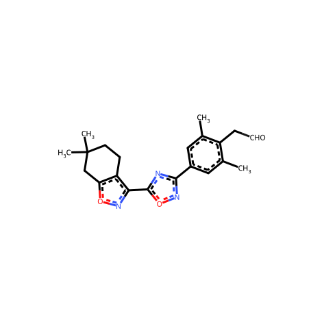 Cc1cc(-c2noc(-c3noc4c3CCC(C)(C)C4)n2)cc(C)c1CC=O